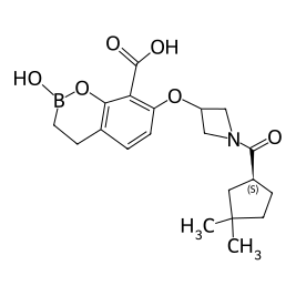 CC1(C)CC[C@H](C(=O)N2CC(Oc3ccc4c(c3C(=O)O)OB(O)CC4)C2)C1